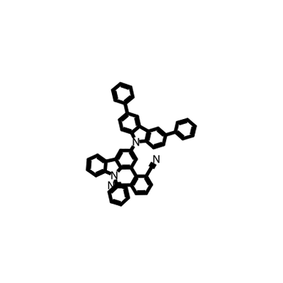 N#Cc1cccc(C#N)c1-c1cc(-n2c3ccc(-c4ccccc4)cc3c3cc(-c4ccccc4)ccc32)cc2c3ccccc3n(-c3ccccc3)c12